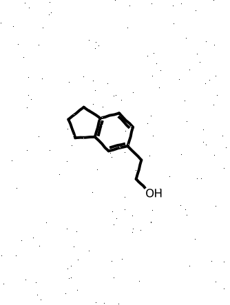 OCCc1ccc2c(c1)CCC2